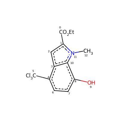 CCOC(=O)c1cc2c(C(Cl)(Cl)Cl)ccc(O)c2n1C